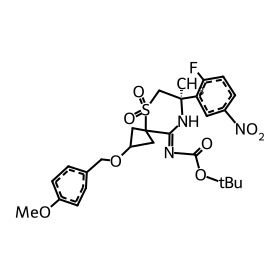 COc1ccc(COC2CC3(C2)/C(=N/C(=O)OC(C)(C)C)N[C@](C)(c2cc([N+](=O)[O-])ccc2F)CS3(=O)=O)cc1